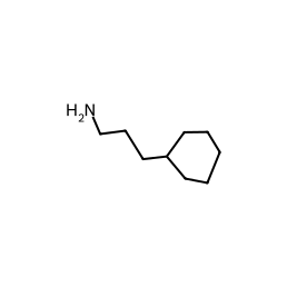 NCCCC1CCCCC1